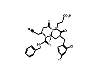 C#CCN1CC(=O)N2[C@@H](CCC(=O)O)C(=O)N(Cc3ccc(Cl)cc3Cl)C[C@@H]2N1C(=O)NCc1ccccc1